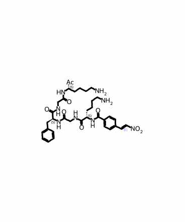 CC(=O)[C@H](CCCCN)NC(=O)CNC(=O)[C@H](Cc1ccccc1)NC(=O)CNC(=O)[C@H](CCCCN)NC(=O)c1ccc(/C=C/[N+](=O)[O-])cc1